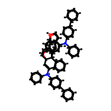 C1=CC23C=C(N(c4ccccc4)c4ccc(-c5ccccc5)cc4)c4ccccc4C2(c2cc(N(c4ccccc4)c4ccc(-c5ccccc5)cc4)ccc21)c1cc2ccoc2cc1O3